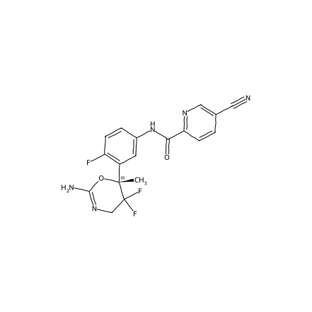 C[C@]1(c2cc(NC(=O)c3ccc(C#N)cn3)ccc2F)OC(N)=NCC1(F)F